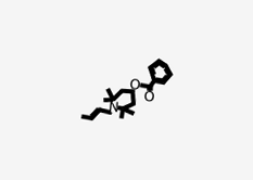 C/C=C/CN1C(C)(C)CC(OC(=O)c2ccccc2)CC1(C)C